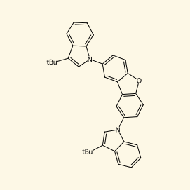 CC(C)(C)c1cn(-c2ccc3oc4ccc(-n5cc(C(C)(C)C)c6ccccc65)cc4c3c2)c2ccccc12